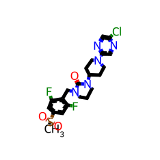 CS(=O)(=O)c1cc(F)c(CN2CCCN(C3CCN(c4cnc(Cl)cn4)CC3)C2=O)c(F)c1